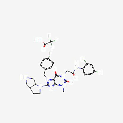 Cn1c(=O)n(CC(=O)Nc2ccc(Cl)cc2Cl)c(=O)c2c1nc(N1CCC3CNCC31)n2Cc1ccc(F)cc1.O=C(O)C(F)(F)F